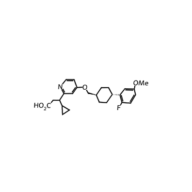 COc1ccc(F)c([C@H]2CC[C@H](COc3ccnc(C(CC(=O)O)C4CC4)c3)CC2)c1